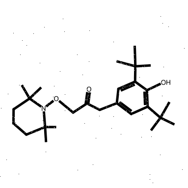 CC(C)(C)c1cc(CC(=O)CON2C(C)(C)CCCC2(C)C)cc(C(C)(C)C)c1O